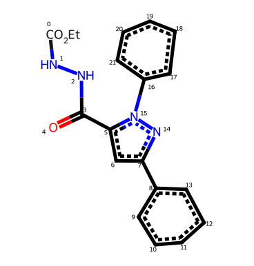 CCOC(=O)NNC(=O)c1cc(-c2ccccc2)nn1-c1ccccc1